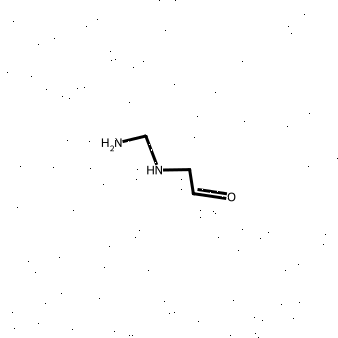 NCNCC=O